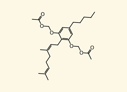 CCCCCc1cc(OCOC(C)=O)c(CC=C(C)CCC=C(C)C)c(OCOC(C)=O)c1